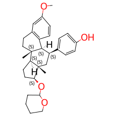 COc1ccc2c(c1)CC[C@@]1(C)[C@@H]3CC[C@H](OC4CCCCO4)[C@@]3(C)C[C@H](c3ccc(O)cc3)[C@H]21